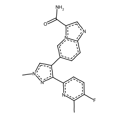 Cc1nc(-c2nn(C)cc2-c2ccc3ncc(C(N)=O)n3c2)ccc1F